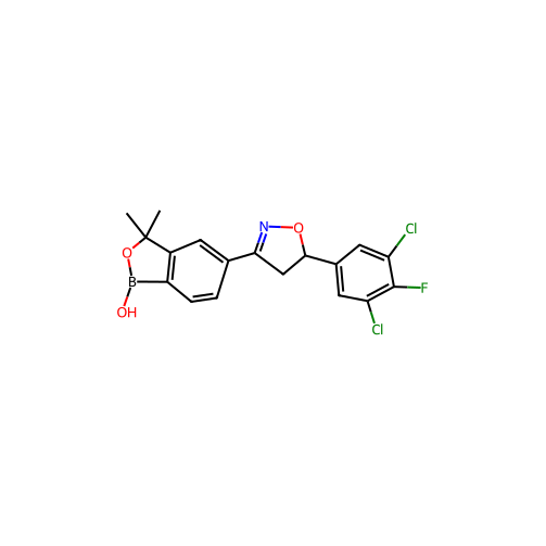 CC1(C)OB(O)c2ccc(C3=NOC(c4cc(Cl)c(F)c(Cl)c4)C3)cc21